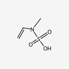 C=CN(C)S(=O)(=O)O